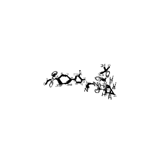 CCS(=O)(=O)c1ccc(-c2ccc(C[C@@H](C#N)NC(=O)[C@@H]3[C@@H]4C[C@@H]([C@H]5C[C@@H]45)N3C(=O)OC(C)(C)C)c(F)c2)cc1